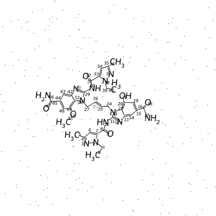 CCn1nc(C)cc1C(=O)Nc1nc2cc(C(N)=O)cc(O)c2n1C/C=C/Cn1c(NC(=O)c2cc(C)nn2CC)nc2cc(C(N)=O)cc(OC)c21